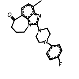 Cc1ccc2c3c1nc(N1CCN(c4ccc(F)cc4)CC1)n3CCCC2=O